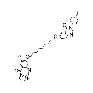 COc1cc2c(cc1OCCCCCCCCCOc1ccc3nc(C)n(-c4ccc(I)cc4C)c(=O)c3c1)N=C[C@@H]1CCCN1C2=O